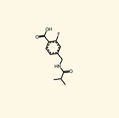 CC(C)C(=O)NCc1ccc(C(=O)O)c(F)c1